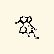 CC(C)CNc1c[nH]c2ncc(Br)c(N3CCCC(N(C)C(=O)OC(C)(C)C)C3)c12